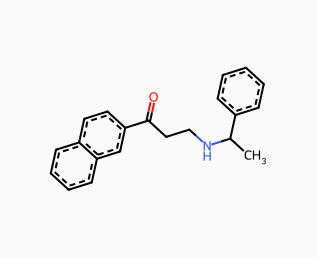 CC(NCCC(=O)c1ccc2ccccc2c1)c1ccccc1